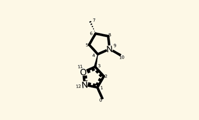 Cc1cc([C@H]2C[C@H](C)CN2C)on1